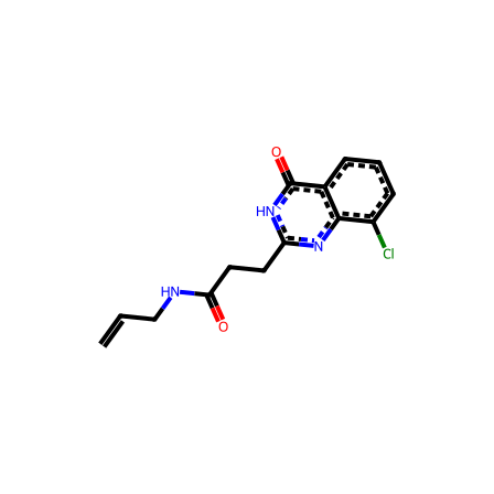 C=CCNC(=O)CCc1nc2c(Cl)cccc2c(=O)[nH]1